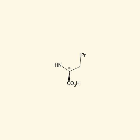 CC(C)C[C@H]([NH])C(=O)O